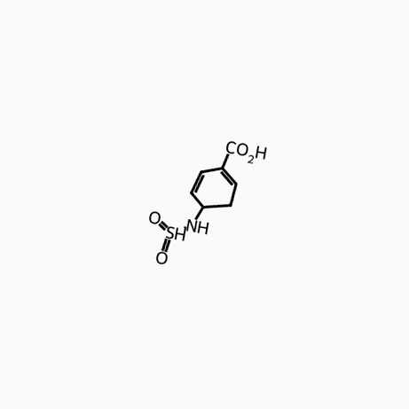 O=C(O)C1=CCC(N[SH](=O)=O)C=C1